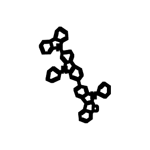 c1ccc(-n2c3cc(-c4ccc5c6c7ccccc7oc6n(-c6ccccc6)c5c4)ccc3c3ccc(-n4c5ccccc5c5ccccc54)cc32)cc1